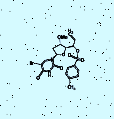 C=CC(OS(=O)(=O)c1ccc(C)cc1)[C@H]1O[C@@H](n2cc(Br)c(=O)[nH]c2=O)C[C@@H]1OC